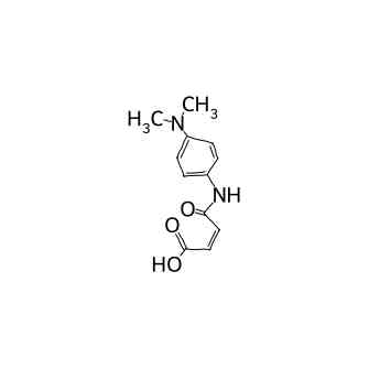 CN(C)c1ccc(NC(=O)/C=C\C(=O)O)cc1